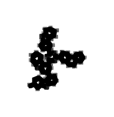 CC1C=Cc2c(oc3cccc(-c4cc(-c5nc(-c6ccc7c(ccc8ccccc87)c6)nc(-c6ccc7sc8ccccc8c7c6)n5)c5c(c4)oc4ccccc45)c23)C1